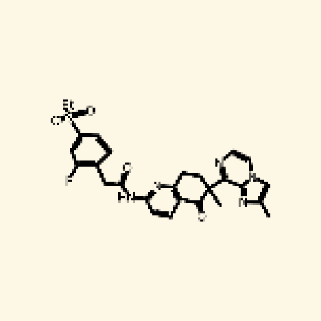 CCS(=O)(=O)c1ccc(CC(=O)Nc2ccc3c(n2)CCC(C)(c2nccn4cc(C)nc24)C3=O)c(F)c1